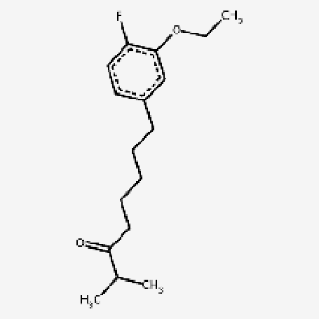 CCOc1cc(CCCCCC(=O)C(C)C)ccc1F